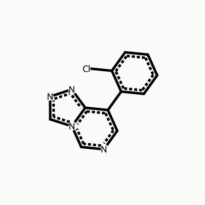 Clc1ccccc1-c1cncn2cnnc12